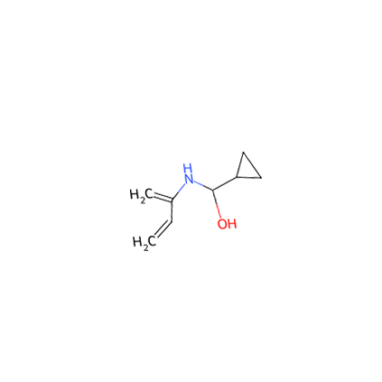 C=CC(=C)NC(O)C1CC1